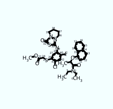 CCN(CC)C(=O)C(C)Oc1cccc2ccccc12.COC(=O)CSc1cc(/N=c2\sc(=O)n3n2CCCC3)c(F)cc1Cl